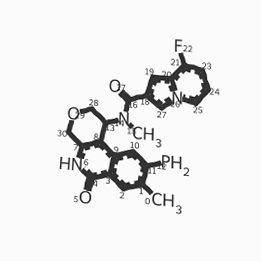 Cc1cc2c(=O)[nH]c3c(c2cc1P)C(N(C)C(=O)c1cc2c(F)cccn2c1)COC3